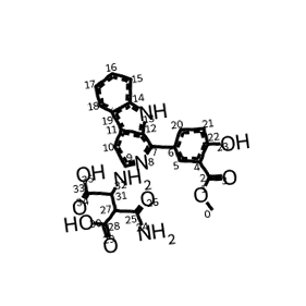 COC(=O)c1cc(-c2nccc3c2[nH]c2ccccc23)ccc1O.NC(=O)C(C(=O)O)C(N)C(=O)O